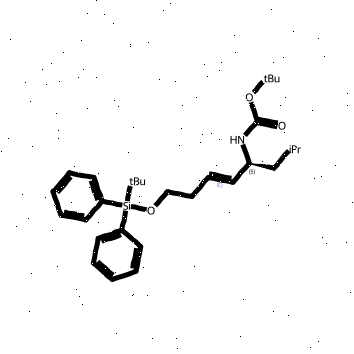 CC(C)C[C@@H](/C=C/CCO[Si](c1ccccc1)(c1ccccc1)C(C)(C)C)NC(=O)OC(C)(C)C